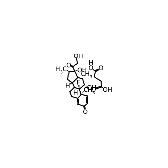 C[C@@H]1C[C@H]2[C@@H]3CCC4=CC(=O)C=C[C@]4(C)[C@@]3(F)[C@@H](O)C[C@]2(C)[C@@]1(O)C(=O)CO.O=C(O)CCC(=O)O